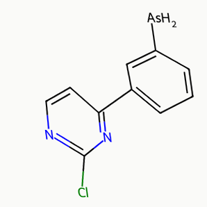 Clc1nccc(-c2cccc([AsH2])c2)n1